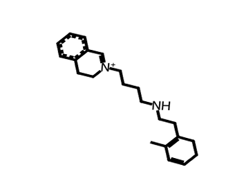 CC1=C(CCNCCCC[N+]2=Cc3ccccc3CC2)CCC=C1